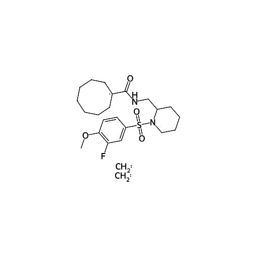 COc1ccc(S(=O)(=O)N2CCCCC2CNC(=O)[C]2CCCCCCC2)cc1F.[CH2].[CH2]